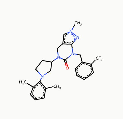 Cc1cccc(C)c1N1CCC(N2Cc3cn(C)nc3N(Cc3ccccc3C(F)(F)F)C2=O)C1